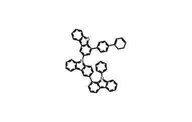 C1=CCCC(c2ccc(-c3cc(-n4c5ccccc5c5cc(-c6cccc7c8ccccc8n(-c8ccccc8)c67)ccc54)cc4c3sc3ccccc34)cc2)=C1